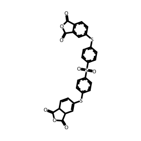 O=C1OC(=O)c2cc(Sc3ccc(S(=O)(=O)c4ccc(SC5=CC6C(=O)OC(=O)C6C=C5)cc4)cc3)ccc21